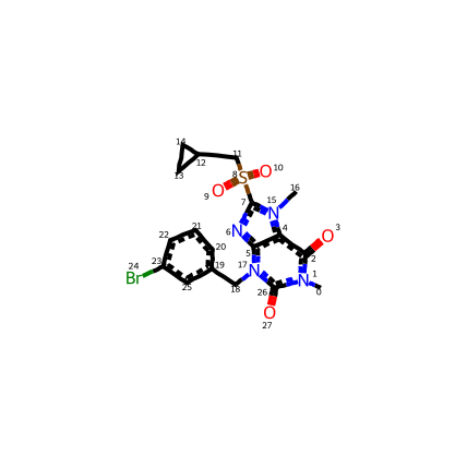 Cn1c(=O)c2c(nc(S(=O)(=O)CC3CC3)n2C)n(Cc2cccc(Br)c2)c1=O